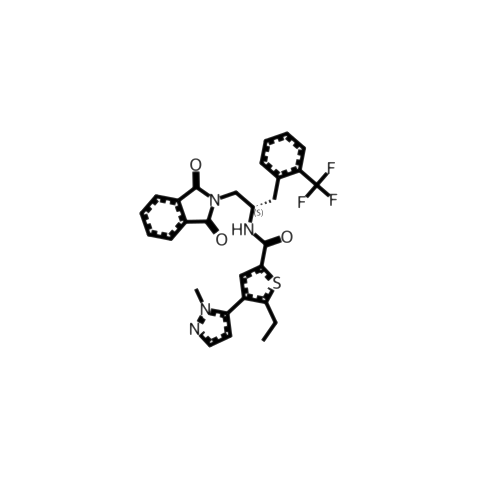 CCc1sc(C(=O)N[C@@H](Cc2ccccc2C(F)(F)F)CN2C(=O)c3ccccc3C2=O)cc1-c1ccnn1C